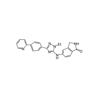 CCn1nc(-c2ccc(-c3ccccn3)cc2)nc1Nc1ccc2c(c1)CNC2=O